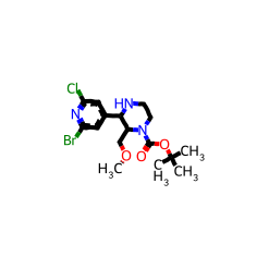 COCC1C(c2cc(Cl)nc(Br)c2)NCCN1C(=O)OC(C)(C)C